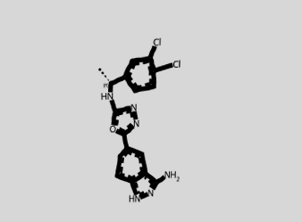 C[C@@H](Nc1nnc(-c2ccc3[nH]nc(N)c3c2)o1)c1ccc(Cl)c(Cl)c1